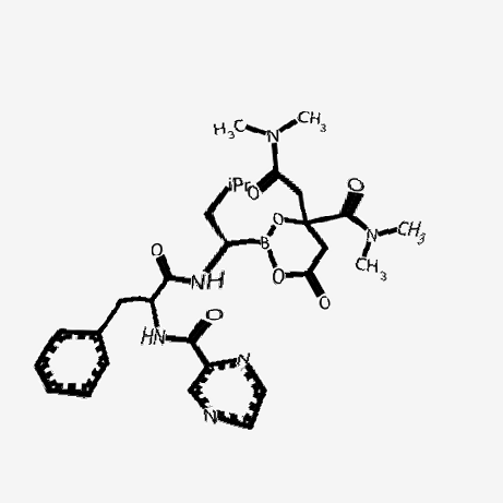 CC(C)C[C@H](NC(=O)C(Cc1ccccc1)NC(=O)c1cnccn1)B1OC(=O)CC(CC(=O)N(C)C)(C(=O)N(C)C)O1